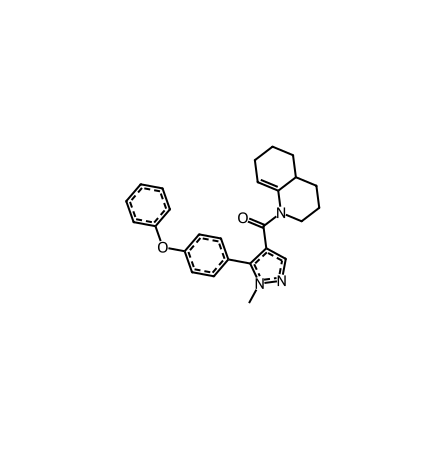 Cn1ncc(C(=O)N2CCCC3CCCC=C32)c1-c1ccc(Oc2ccccc2)cc1